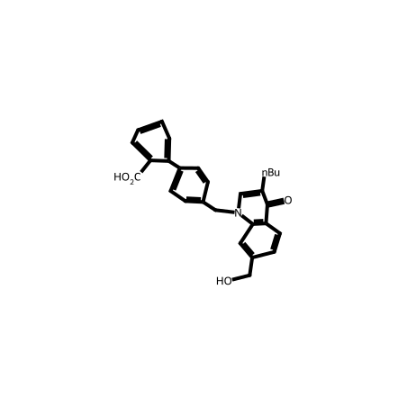 CCCCc1cn(Cc2ccc(-c3ccccc3C(=O)O)cc2)c2cc(CO)ccc2c1=O